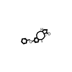 C[C@@H]1CC[C@]2(C)C(=O)C=C[C@H]2CCCc2cc(OCc3ccccc3)ccc21